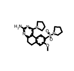 COc1cc2c(cc1S(=O)(=O)N1CCCC1)-c1c(nc(N)nc1N1CCCC1)CC2